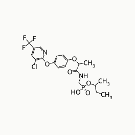 CCC(C)OP(=O)(O)CNC(=O)C(C)Oc1ccc(Oc2ncc(C(F)(F)F)cc2Cl)cc1